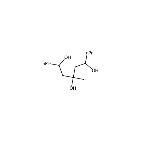 [CH2]C(O)(CC(O)CCC)CC(O)CCC